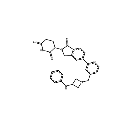 O=C1CCC(N2Cc3cc(-c4cc(CN5CC(Nc6ccccc6)C5)ccn4)ccc3C2=O)C(=O)N1